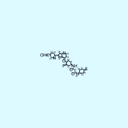 CN(C(=O)CC(=O)Nc1ccc(Oc2ccnc3cc(-c4ccc(C=O)cn4)sc23)c(F)c1)c1ccc(F)cc1